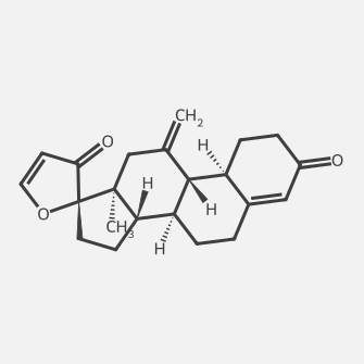 C=C1C[C@@]2(C)[C@@H](CC[C@]23OC=CC3=O)[C@@H]2CCC3=CC(=O)CC[C@@H]3[C@@H]12